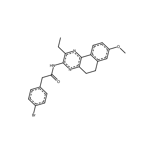 CCc1nc2c(nc1NC(=O)Cc1ccc(Br)cc1)CCc1cc(OC)ccc1-2